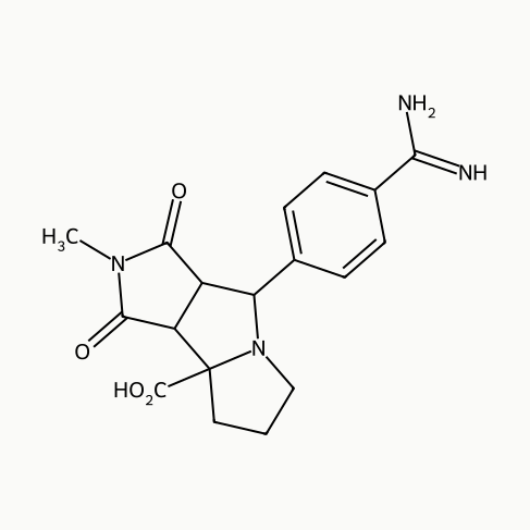 CN1C(=O)C2C(c3ccc(C(=N)N)cc3)N3CCCC3(C(=O)O)C2C1=O